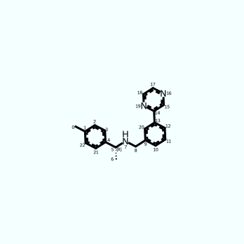 Cc1ccc([C@@H](C)NCc2cccc(-c3cnccn3)c2)cc1